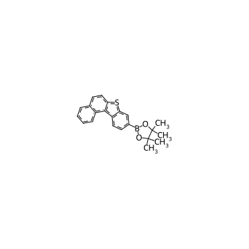 CC1(C)OB(c2ccc3c(c2)sc2ccc4ccccc4c23)OC1(C)C